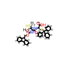 CC(C)(S)[C@H](NC(=O)OCC1c2ccccc2-c2ccccc21)C(=O)N[C@@H](CSC(c1ccccc1)(c1ccccc1)c1ccccc1)C(=O)O